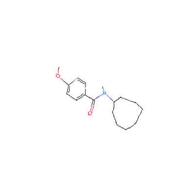 COc1ccc(C(=O)N(C)C2CCCCCCC2)cc1